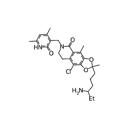 CCC(N)CCCC1(C)Oc2c(C)c3c(c(Cl)c2O1)CCN(Cc1c(C)cc(C)[nH]c1=O)C3=O